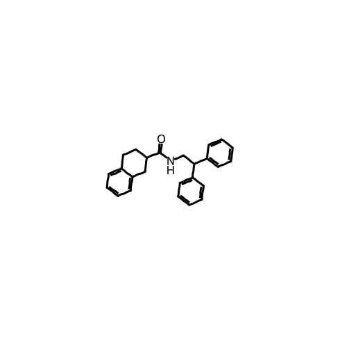 O=C(NCC(c1ccccc1)c1ccccc1)C1CCc2ccccc2C1